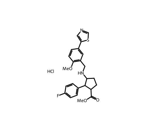 COC(=O)C1CCC(NCc2cc(-c3cncs3)ccc2OC)C1c1ccc(F)cc1.Cl